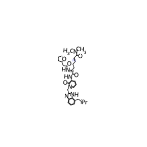 CC(C)Cc1cccc2nc(Cn3cccc(NC(=O)[C@H](CC/C=C/C(=O)N(C)C)NC(=O)CC4CCCO4)c3=O)[nH]c12